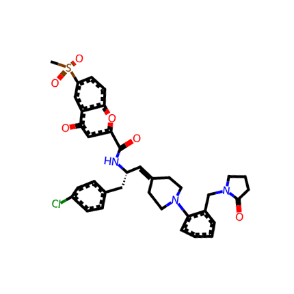 CS(=O)(=O)c1ccc2oc(C(=O)N[C@H](C=C3CCN(c4ccccc4CN4CCCC4=O)CC3)Cc3ccc(Cl)cc3)cc(=O)c2c1